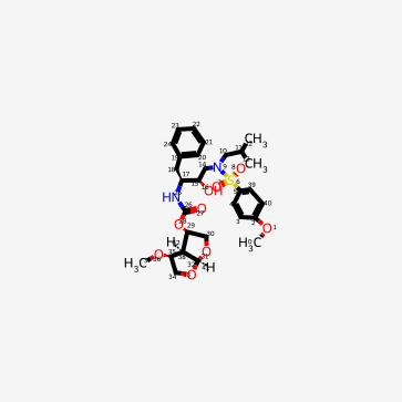 COc1ccc(S(=O)(=O)N(CC(C)C)C[C@@H](O)[C@H](Cc2ccccc2)NC(=O)O[C@H]2CO[C@H]3OC[C@@H](OC)[C@H]32)cc1